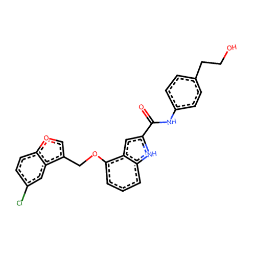 O=C(Nc1ccc(CCO)cc1)c1cc2c(OCc3coc4ccc(Cl)cc34)cccc2[nH]1